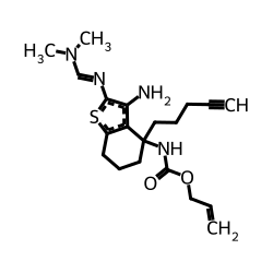 C#CCCCC1(NC(=O)OCC=C)CCCc2sc(/N=C/N(C)C)c(N)c21